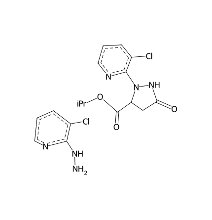 CC(C)OC(=O)C1CC(=O)NN1c1ncccc1Cl.NNc1ncccc1Cl